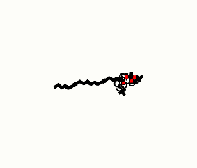 CCCC=CC#CCCC=CC=CC#CCCCC(O[Si](C)(C)C(C)(C)C)(O[Si](C)(C)C(C)(C)C)C(=O)OO[Si](C)(C)C(C)(C)C